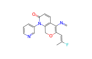 C=NC1=C(/C=C(\C)F)OCc2c1ccc(=O)n2-c1cccnc1